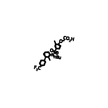 CCCCN(c1cccc(-c2ccc(C(F)(F)F)cc2)c1C)S(=O)(=O)c1ccc(OCC(=O)O)c(C)c1